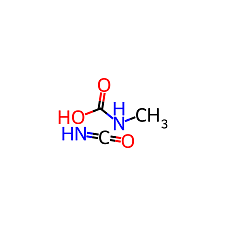 CNC(=O)O.N=C=O